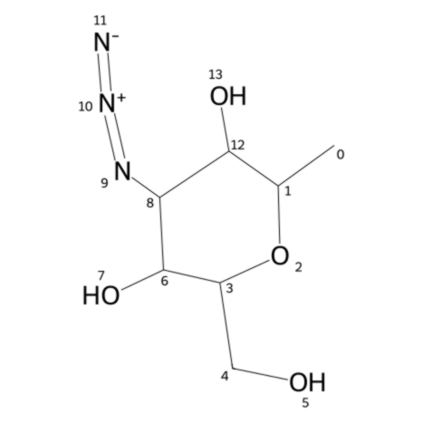 CC1OC(CO)C(O)C(N=[N+]=[N-])C1O